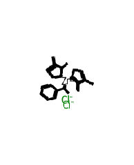 CC1=CC[C]([Zr+2]([C]2=C(C)C(C)=CC2)=[C](C)c2ccccc2)=C1C.[Cl-].[Cl-]